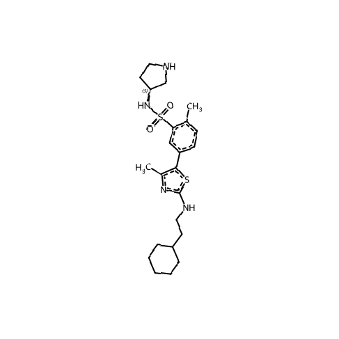 Cc1ccc(-c2sc(NCCC3CCCCC3)nc2C)cc1S(=O)(=O)N[C@H]1CCNC1